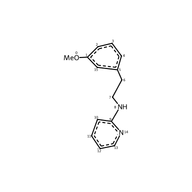 COc1cccc(CCNc2cc[c]cn2)c1